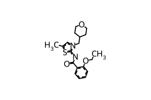 CCOc1ccccc1C(=O)/N=c1\sc(C)cn1CC1CCOCC1